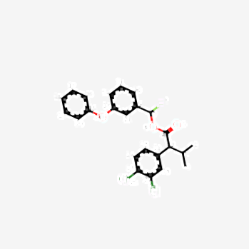 CC(C)C(C(=O)OC(F)c1cccc(Oc2ccccc2)c1)c1ccc(Cl)c(Cl)c1